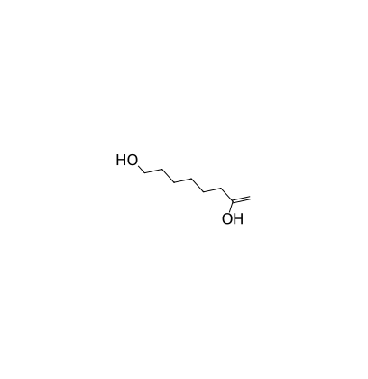 C=C(O)CCCCCCO